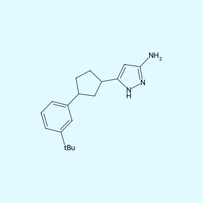 CC(C)(C)c1cccc(C2CCC(c3cc(N)n[nH]3)C2)c1